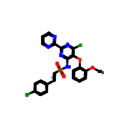 COc1ccccc1Oc1c(Cl)nc(-c2ncccn2)nc1NS(=O)(=O)/C=C/c1ccc(Cl)cc1